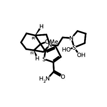 COC1(c2ccc(C(N)=O)s2)[C@@H]2CCC[C@H]1CN(CCN1CCCS1(O)O)C2